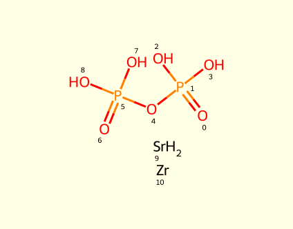 O=P(O)(O)OP(=O)(O)O.[SrH2].[Zr]